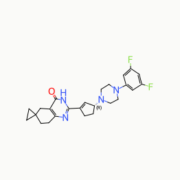 O=c1[nH]c(C2=C[C@H](N3CCN(c4cc(F)cc(F)c4)CC3)CC2)nc2c1CC1(CC2)CC1